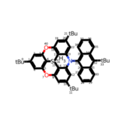 CC(C)(C)c1cc2c3c(c1)Oc1cc(C(C)(C)C)cc4c1[Si]3(C)c1c(cc(C(C)(C)C)cc1N4c1c3ccccc3c(C(C)(C)C)c3ccccc13)O2